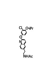 CC(=O)NCCc1ccc2nc(Oc3ccc(OC(C)C)c(Cl)c3)ccc2c1